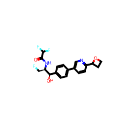 O=C(N[C@H](CF)[C@H](O)c1ccc(-c2ccc(C3CCO3)nc2)cc1)C(F)F